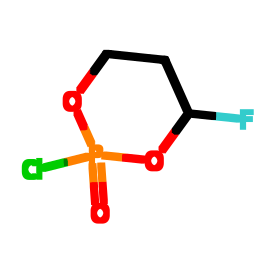 O=P1(Cl)OCCC(F)O1